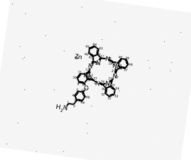 NCCc1ccc(Oc2cccc3c4nc5nc(nc6[nH]c(nc7nc(nc([nH]4)c23)-c2ccccc2-7)c2ccccc62)-c2ccccc2-5)cc1.[Zn]